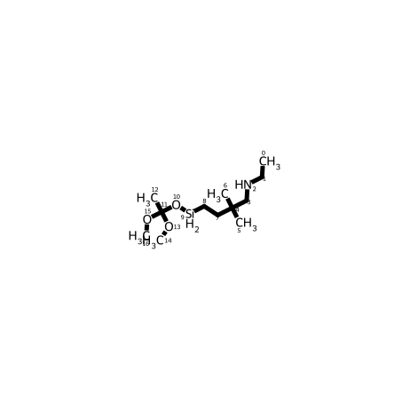 CCNCC(C)(C)CC[SiH2]OC(C)(OC)OC